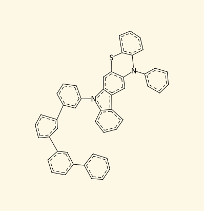 c1ccc(-c2cccc(-c3cccc(-c4cccc(-n5c6ccccc6c6cc7c(cc65)Sc5ccccc5N7c5ccccc5)c4)c3)c2)cc1